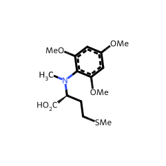 COc1cc(OC)c(N(C)[C@@H](CCSC)C(=O)O)c(OC)c1